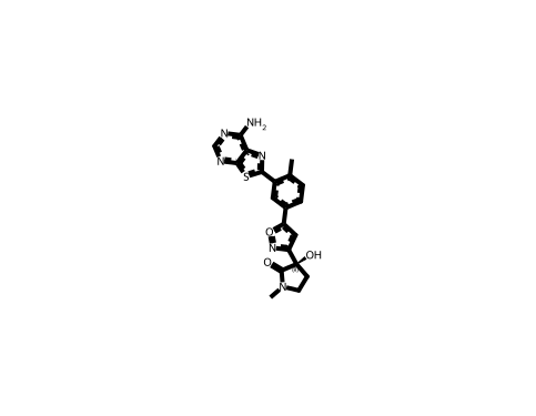 Cc1ccc(-c2cc([C@]3(O)CCN(C)C3=O)no2)cc1-c1nc2c(N)ncnc2s1